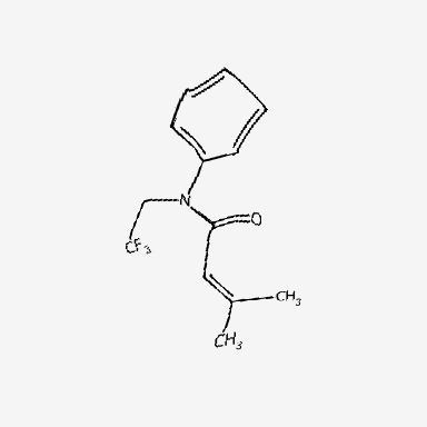 CC(C)=CC(=O)N(CC(F)(F)F)c1ccccc1